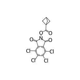 O=C1c2c(Cl)c(Cl)c(Cl)c(Cl)c2C(=O)N1OC(=O)C12CC(C1)C2